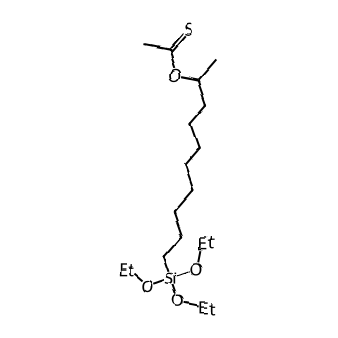 CCO[Si](CCCCCCCCC(C)OC(C)=S)(OCC)OCC